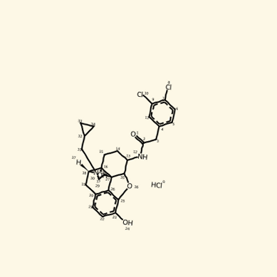 Cl.O=C(Cc1ccc(Cl)c(Cl)c1)NC1CC[C@@]2(O)[C@H]3Cc4ccc(O)c5c4[C@@]2(CCN3CC2CC2)C1O5